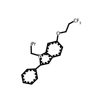 CC(C)Cn1c(-c2ccccc2)cc2ccc(OCCC(F)(F)F)cc21